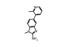 Cc1ncccc1-c1ccc2c(c1)nc(N)n2C